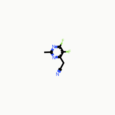 Cc1nc(F)c(F)c(CC#N)n1